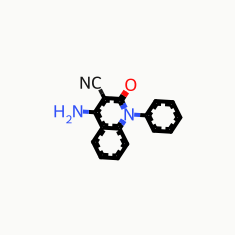 N#Cc1c(N)c2ccccc2n(-c2ccccc2)c1=O